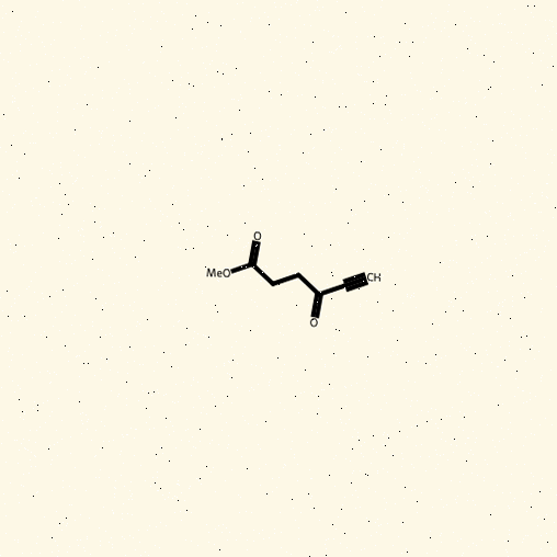 C#CC(=O)CCC(=O)OC